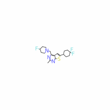 Cc1nc(CN2CCC(F)CC2)c2cc(C3CCC(F)(F)CC3)sc2n1